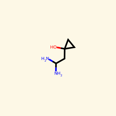 NC(N)CC1(O)CC1